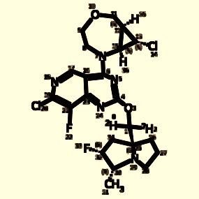 [2H]C([2H])(Oc1nc(N2CCOC[C@H]3[C@H](Cl)[C@H]32)c2cnc(Cl)c(F)c2n1)[C@@]12CCCN1[C@H](C)[C@H](F)C2